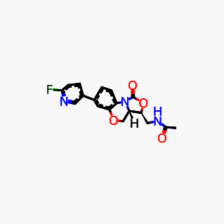 CC(=O)NC[C@@H]1OC(=O)N2c3ccc(-c4ccc(F)nc4)cc3OC[C@@H]12